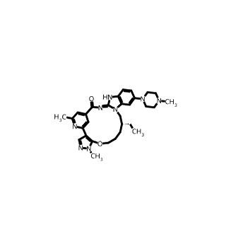 CC[C@@H]1CCCOc2c(cnn2C)-c2cc(cc(C)n2)C(=O)/N=C2\Nc3ccc(N4CCN(C)CC4)cc3N2C1